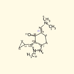 CN(C)/C=C1\CCc2nn(C)c(C3CC3)c2C1=O